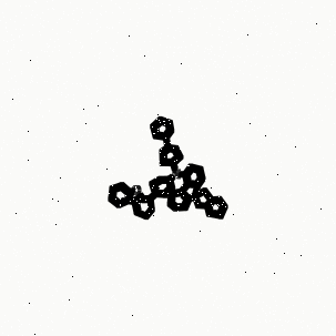 C1=c2c(oc3ccccc23)=C(c2ccc(N(c3ccc(-c4ccccc4)cc3)c3cccc4c3-c3ccccc3C43Cc4ccccc4C3)cc2)CC1